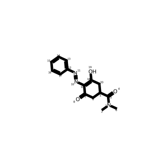 CN(C)C(=O)C1CC(=O)C(N=Nc2ccccc2)=C(O)C1